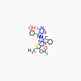 Cc1ccccc1-n1c(Cn2nc(-c3cccc(O)c3)c3c(I)ncnc32)nc2sc(C)c(C)c2c1=O